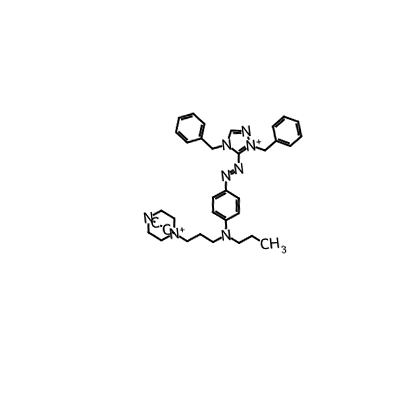 CCCN(CCC[N+]12CCN(CC1)CC2)c1ccc(N=Nc2n(Cc3ccccc3)cn[n+]2Cc2ccccc2)cc1